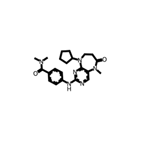 CN(C)C(=O)c1ccc(Nc2ncc3c(n2)N(C2CCCC2)CCC(=O)N3C)cc1